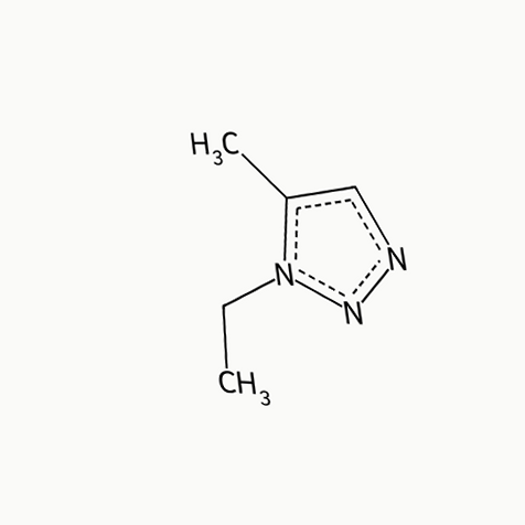 CCn1nncc1C